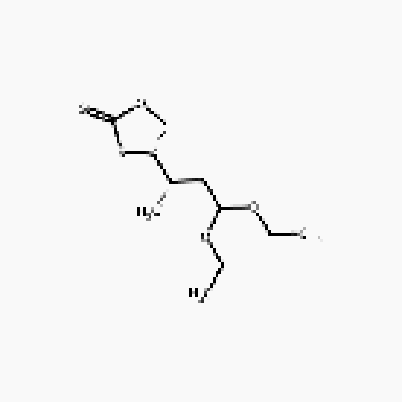 CCOC(C[C@H](C)[C@H]1COC(=S)S1)OCC